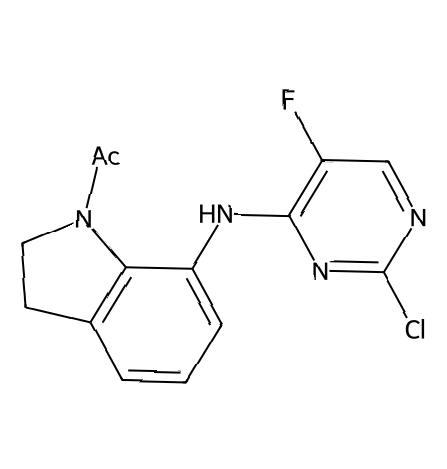 CC(=O)N1CCc2cccc(Nc3nc(Cl)ncc3F)c21